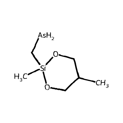 CC1CO[Si](C)(C[AsH2])OC1